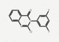 O=c1c2ccccc2nc(Cl)n1-c1cc(F)cc(F)c1